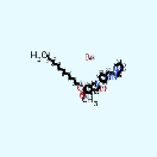 CCCCCCCCCCCCCCOc1cc(CN(C(C)=O)c2ccc(Cc3[nH]cc4cccc[n+]34)cc2)ccc1OC.[Br-]